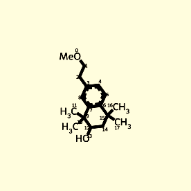 COCCc1ccc2c(c1)C(C)(C)C(O)CC2(C)C